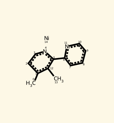 Cc1ccnc(-c2ccccn2)c1C.[Ni]